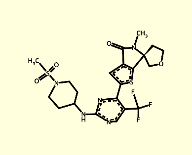 CN1C(=O)c2cc(-c3nc(NC4CCN(S(C)(=O)=O)CC4)ncc3C(F)(F)F)sc2[C@]12CCOC2